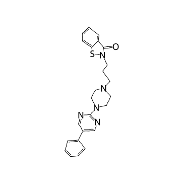 O=c1c2ccccc2sn1CCCN1CCN(c2ncc(-c3ccccc3)cn2)CC1